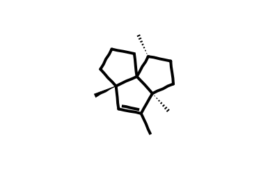 CC1=C[C@]2(C)CCCC23[C@H](C)CC[C@@]13C